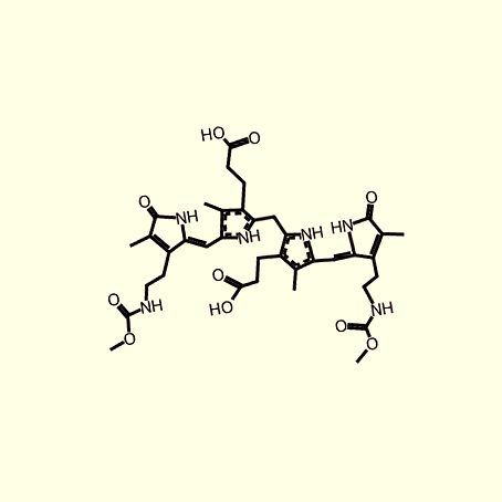 COC(=O)NCCC1=C(C)C(=O)N/C1=C\c1[nH]c(Cc2[nH]c(/C=C3\NC(=O)C(C)=C3CCNC(=O)OC)c(C)c2CCC(=O)O)c(CCC(=O)O)c1C